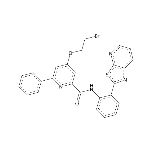 O=C(Nc1ccccc1-c1nc2cccnc2s1)c1cc(OCCBr)cc(-c2ccccc2)n1